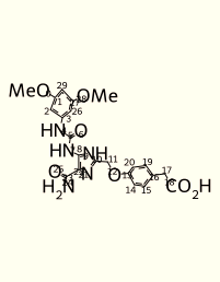 COc1cc(NC(=O)Nc2[nH]c(COc3ccc(CC(=O)O)cc3)nc2C(N)=O)cc(OC)c1